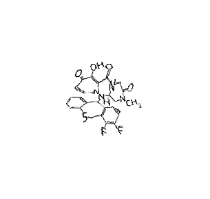 CN1C[C@@H]2N(CC1=O)C(=O)c1c(O)c(=O)ccn1N2[C@@H]1c2ccccc2SCc2c1ccc(F)c2F